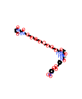 CC(C)[C@H](NC(=O)CCOCCOCCOCCOCCOCCOCCOCCOCCNC(=O)CCN1C(=O)C=CC1=O)C(=O)N[C@@H](C)C(=O)Nc1ccc(COC(=O)Oc2ccc([N+](=O)[O-])cc2)cc1